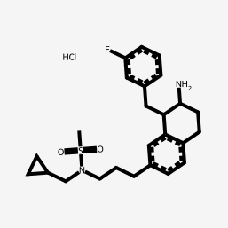 CS(=O)(=O)N(CCCc1ccc2c(c1)C(Cc1cccc(F)c1)C(N)CC2)CC1CC1.Cl